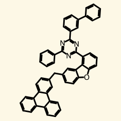 c1ccc(-c2cccc(-c3nc(-c4ccccc4)nc(-c4cccc5oc6ccc(Cc7ccc8c9ccccc9c9ccccc9c8c7)cc6c45)n3)c2)cc1